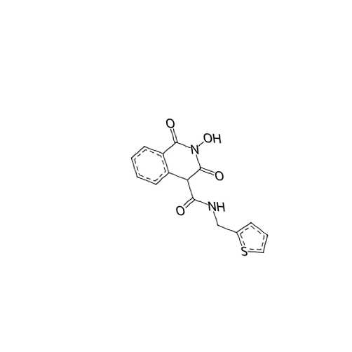 O=C(NCc1cccs1)C1C(=O)N(O)C(=O)c2ccccc21